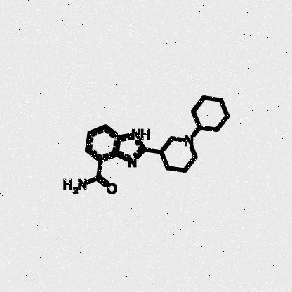 NC(=O)c1cccc2[nH]c(C3CCCN(C4CCCCC4)C3)nc12